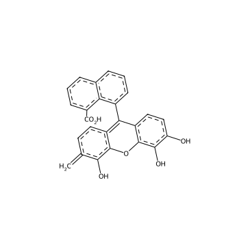 C=c1ccc2c(c1O)Oc1c(ccc(O)c1O)C=2c1cccc2cccc(C(=O)O)c12